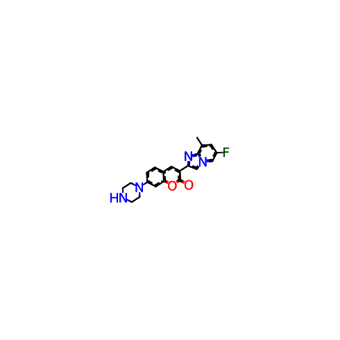 Cc1cc(F)cn2cc(-c3cc4ccc(N5CCNCC5)cc4oc3=O)nc12